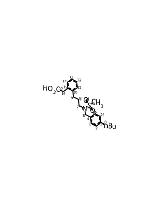 CCCCc1ccc(CN(CCCc2ccccc2CC(=O)O)S(C)(=O)=O)cc1